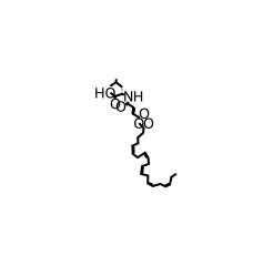 CC/C=C\C/C=C\C/C=C\C/C=C\C/C=C\CCCC(=O)OC(=O)/C=C/C(=O)N[C@@H](CC(C)C)C(=O)O